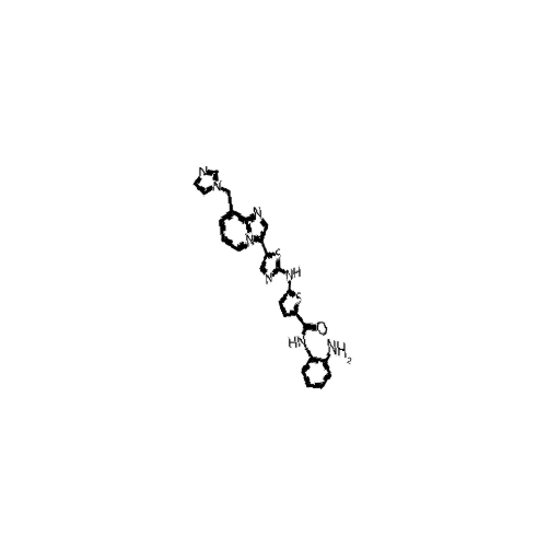 Nc1ccccc1NC(=O)c1ccc(Nc2ncc(-c3cnc4c(Cn5ccnc5)cccn34)s2)s1